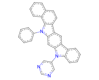 c1ccc(-n2c3cc4c(cc3c3ccc5ccccc5c32)c2ccccc2n4-c2cncnc2)cc1